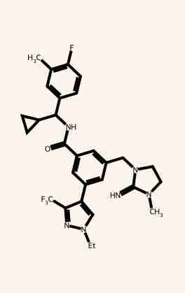 CCn1cc(-c2cc(CN3CCN(C)C3=N)cc(C(=O)NC(c3ccc(F)c(C)c3)C3CC3)c2)c(C(F)(F)F)n1